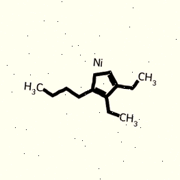 CCCCC1=C(CC)C(CC)=CC1.[Ni]